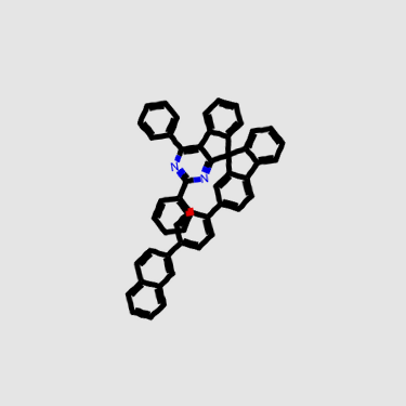 C1=CC(c2nc(-c3ccccc3)c3c(n2)C2(c4ccccc4-c4ccc(-c5ccc(-c6ccc7ccccc7c6)cc5)cc42)c2ccccc2-3)=CCC1